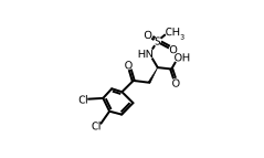 CS(=O)(=O)N[C@H](CC(=O)c1ccc(Cl)c(Cl)c1)C(=O)O